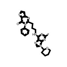 O=c1c2sccc2nc(CCCNc2nc(F)nc3c2ncn3C2CCCCO2)n1-c1ccccc1